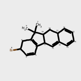 CC1(C)C2=C(C=CC(Br)C2)C2C=C3C=CC=CC3CC21